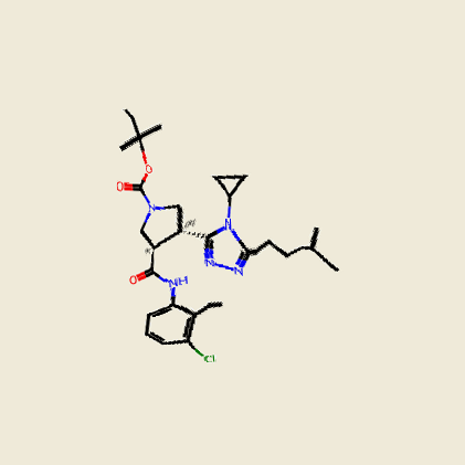 Cc1c(Cl)cccc1NC(=O)[C@H]1CN(C(=O)OC(C)(C)C)C[C@@H]1c1nnc(CCC(C)C)n1C1CC1